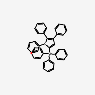 c1ccc(-c2cc([Si](c3ccccc3)(c3ccccc3)c3ccccc3)n(-c3ccccc3)c2-c2ccccc2)cc1